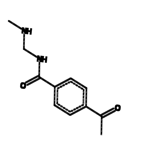 CNCNC(=O)c1ccc(C(C)=O)cc1